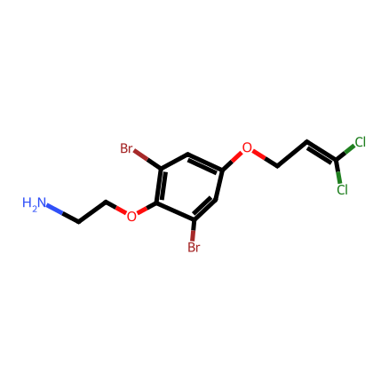 NCCOc1c(Br)cc(OCC=C(Cl)Cl)cc1Br